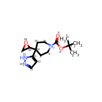 CC(C)(C)OC(=O)N1CCC(c2ccn[nH]2)(C2CO2)CC1